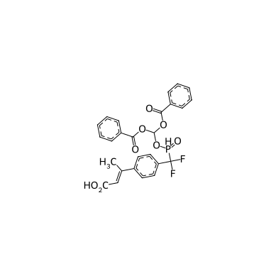 CC(=CC(=O)O)c1ccc(C(F)(F)[PH](=O)OC(OC(=O)c2ccccc2)OC(=O)c2ccccc2)cc1